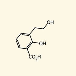 O=C(O)c1cccc(CCO)c1O